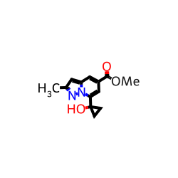 COC(=O)c1cc(C2(O)CC2)n2nc(C)cc2c1